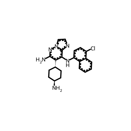 Nc1nn2ccnc2c(Nc2ccc(Cl)c3ccccc23)c1[C@H]1CC[C@H](N)CC1